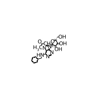 CC(C)=O.OC[C@H]1O[C@@H](n2cnc3c(NCc4ccccc4)ncnc32)[C@@H](O)[C@H]1O